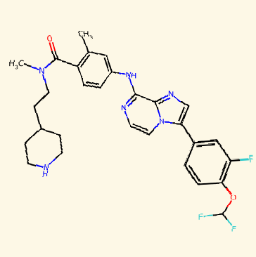 Cc1cc(Nc2nccn3c(-c4ccc(OC(F)F)c(F)c4)cnc23)ccc1C(=O)N(C)CCC1CCNCC1